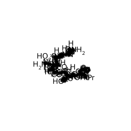 CCC(C)[C@H](NC(=O)[C@H]1CCCCN1C)C(=O)N(COC(=O)CC(C)C)[C@H](C[C@@H](OC(C)=O)c1nc(C(=O)N[C@@H](Cc2ccc(O)cc2)C[C@H](C)C(=O)OCCSSC[C@H](NC(=O)[C@H](CC(=O)O)NC(=O)[C@H](CCCNC(=N)N)NC(=O)[C@H](CC(=O)O)NC(=O)CC[C@H](NC(=O)c2ccc(NCc3cnc4nc(N)[nH]c(=O)c4n3)cc2)C(=O)O)C(=O)O)cs1)C(C)C